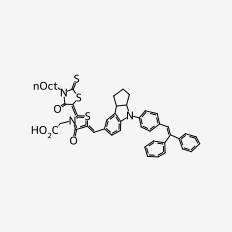 CCCCCCCCN1C(=O)C(=c2sc(=Cc3ccc4c(c3)C3CCCC3N4c3ccc(C=C(c4ccccc4)c4ccccc4)cc3)c(=O)n2CC(=O)O)SC1=S